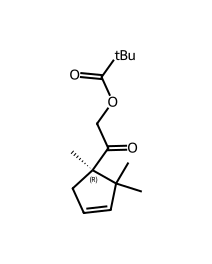 CC(C)(C)C(=O)OCC(=O)[C@]1(C)CC=CC1(C)C